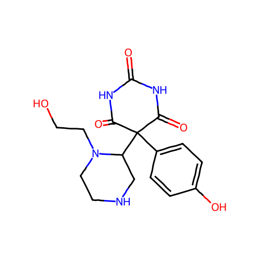 O=C1NC(=O)C(c2ccc(O)cc2)(C2CNCCN2CCO)C(=O)N1